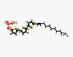 CCCCCCCCC#Cc1ccc(-c2ccc(-c3ccc(O[PH](=O)O)s3)s2)s1